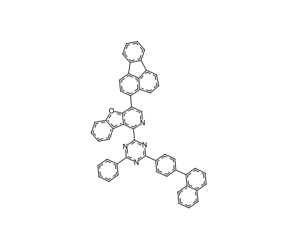 c1ccc(-c2nc(-c3ccc(-c4cccc5ccccc45)cc3)nc(-c3ncc(-c4ccc5c6c(cccc46)-c4ccccc4-5)c4oc5ccccc5c34)n2)cc1